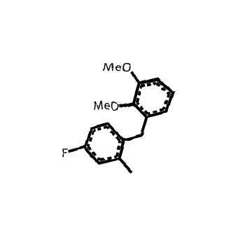 COc1cccc(Cc2ccc(F)cc2C)c1OC